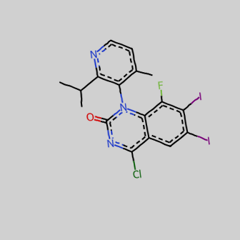 Cc1ccnc(C(C)C)c1-n1c(=O)nc(Cl)c2cc(I)c(I)c(F)c21